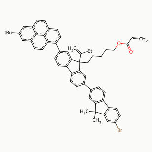 C=CC(=O)OCCCCCC1(C(=C)CC)c2cc(-c3ccc4c(c3)C(C)(C)c3cc(Br)ccc3-4)ccc2-c2ccc(-c3ccc4ccc5cc(C(C)(C)C)cc6ccc3c4c56)cc21